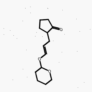 O=C1CCCC1CC=COC1CCCCO1